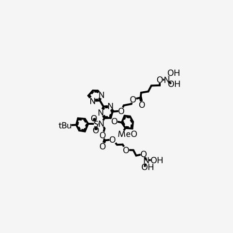 COc1ccccc1Oc1c(OCCOC(=O)CCCCON(O)O)nc(-c2ncccn2)nc1N(COC(=O)OCCOCCON(O)O)S(=O)(=O)c1ccc(C(C)(C)C)cc1